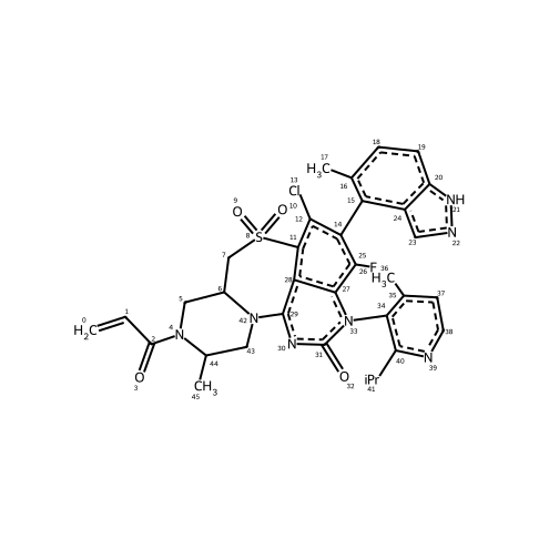 C=CC(=O)N1CC2CS(=O)(=O)c3c(Cl)c(-c4c(C)ccc5[nH]ncc45)c(F)c4c3c(nc(=O)n4-c3c(C)ccnc3C(C)C)N2CC1C